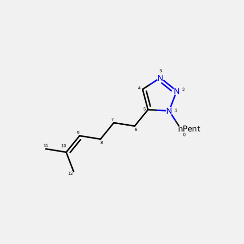 CCCCCn1nncc1CCCC=C(C)C